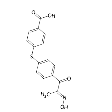 C/C(=N\O)C(=O)c1ccc(Sc2ccc(C(=O)O)cc2)cc1